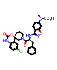 CN(C(=O)O)c1ccc2c(N[C@@H](Cc3ccccc3)C(=O)N3CCC[C@@]4(C3)OC(=O)Nc3ccc(Cl)cc34)noc2c1